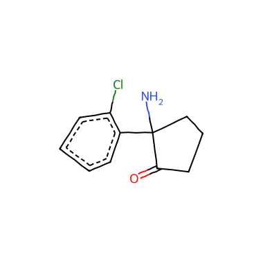 NC1(c2ccccc2Cl)CCCC1=O